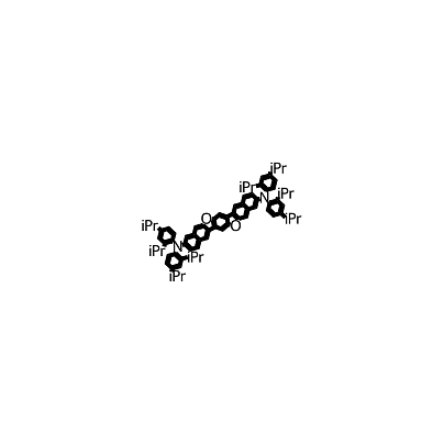 CC(C)c1ccc(N(c2ccc3cc4c(cc3c2)oc2cc3c(cc24)oc2cc4cc(N(c5ccc(C(C)C)cc5C(C)C)c5ccc(C(C)C)cc5C(C)C)ccc4cc23)c2ccc(C(C)C)cc2C(C)C)c(C(C)C)c1